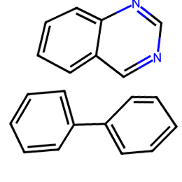 c1ccc(-c2ccccc2)cc1.c1ccc2ncncc2c1